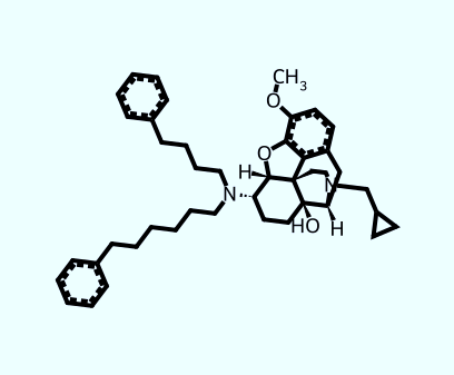 COc1ccc2c3c1O[C@H]1[C@@H](N(CCCCCCc4ccccc4)CCCCc4ccccc4)CC[C@@]4(O)[C@@H](C2)N(CC2CC2)CC[C@]314